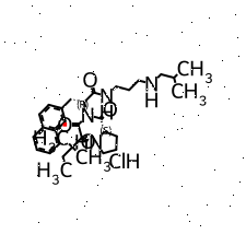 CCC(C)(C)C(=O)C(=O)N(C(=O)[C@@H]1CCCN1)[C@H](Cc1ccc2ccccc2c1)C(=O)NCCCNCC(C)C.Cl